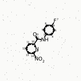 O=C(Nc1ccc(F)cc1)c1cccc([N+](=O)[O-])n1